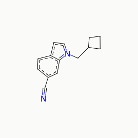 N#Cc1ccc2ccn(CC3CCC3)c2c1